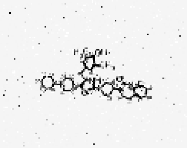 Cc1cc(C[C@@H](NC(=O)N2CCC(N3CCc4ccccc4NC3=O)CC2)C(=O)N2CCN(C3CCCOC3)CC2)cc(C)c1O